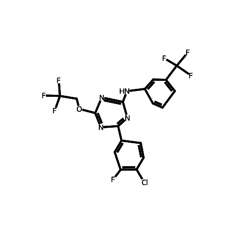 Fc1cc(-c2nc(Nc3cccc(C(F)(F)F)c3)nc(OCC(F)(F)F)n2)ccc1Cl